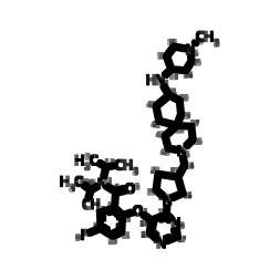 CC(C)N(C(=O)c1cc(F)ccc1Oc1cncnc1N1CCC(CN2CCC3(CCC(NC4CCN(C)CC4)CC3)CC2)C1)C(C)C